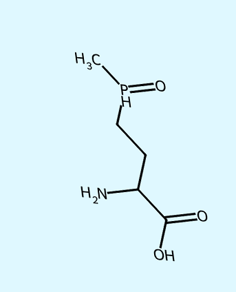 C[PH](=O)CCC(N)C(=O)O